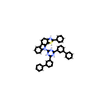 c1ccc(-c2cccc(-c3nc(-c4cccc(-c5ccccc5)c4)nc(-n4c5ccccc5c5ccc6nc(-c7ccccc7)sc6c54)n3)c2)cc1